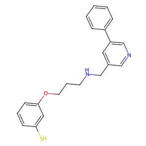 Sc1cccc(OCCCNCc2cncc(-c3ccccc3)c2)c1